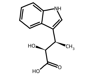 C[C@H](c1c[nH]c2ccccc12)[C@H](O)C(=O)O